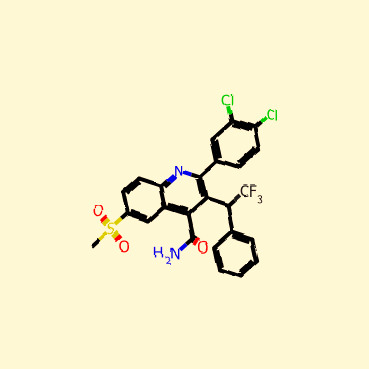 CS(=O)(=O)c1ccc2nc(-c3ccc(Cl)c(Cl)c3)c(C(c3ccccc3)C(F)(F)F)c(C(N)=O)c2c1